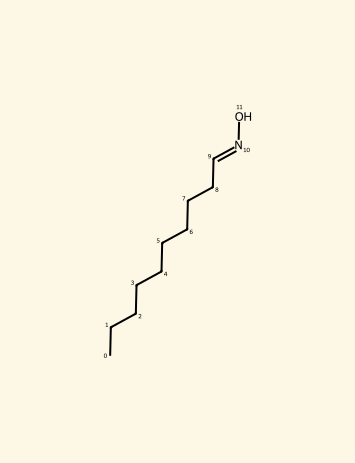 CCCCCCCCC/C=N/O